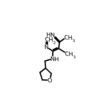 C=N/C(NCC1CCOC1)=C(/C)C(C)=N